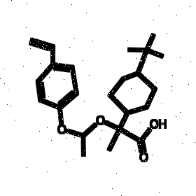 C=Cc1ccc(OC(C)OC(C)(C(=O)O)C2CCC(C(C)(C)C)CC2)cc1